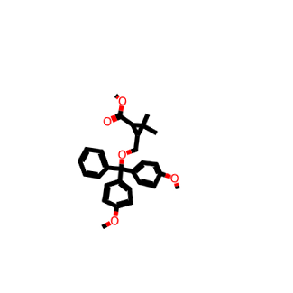 COC(=O)C1C(COC(c2ccccc2)(c2ccc(OC)cc2)c2ccc(OC)cc2)C1(C)C